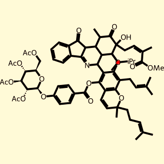 COC(=O)/C(C)=C\CC1(O)C(=O)C(C)C2C3C(=O)c4ccccc4C3=NC3c4c(OC(=O)c5ccc(O[C@@H]6O[C@H](COC(C)=O)[C@@H](OC(C)=O)[C@H](OC(C)=O)[C@H]6OC(C)=O)cc5)c5c(c(CC=C(C)C)c4OC1(C(C)C(C)C)C32)OC(C)(CCC=C(C)C)C=C5